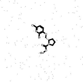 CC(C)(C)OC(=O)N1CCC[C@H]1COc1ccc(Cl)nc1Br